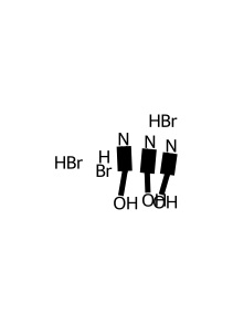 Br.Br.Br.N#CO.N#CO.N#CO